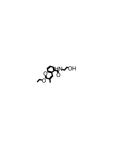 CCOC(=O)C(C)=Cc1ccccc1C(=O)NCCO